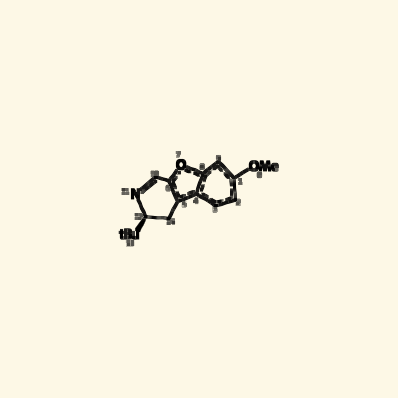 COc1ccc2c3c(oc2c1)C=N[C@H](C(C)(C)C)C3